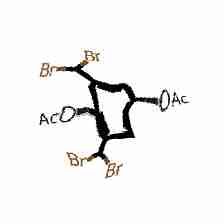 CC(=O)Oc1cc(C(Br)Br)c(OC(C)=O)c(C(Br)Br)c1